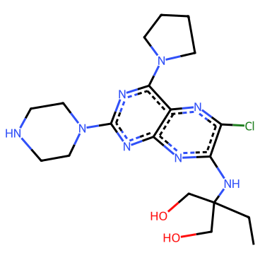 CCC(CO)(CO)Nc1nc2nc(N3CCNCC3)nc(N3CCCC3)c2nc1Cl